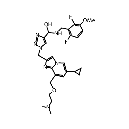 COc1ccc(F)c(CNC(O)c2cn(Cc3cn4cc(C5CC5)cc(COCCN(C)C)c4n3)nn2)c1F